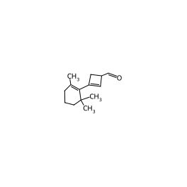 CC1=C(C2=CC(C=O)C2)C(C)(C)CCC1